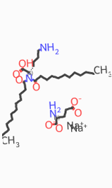 CCCCCCCCCCCC(=O)N(C(=O)CCCCCCCCCCC)[C@@H](CCCCN)C(=O)O.N[C@@H](CCC(=O)[O-])C(=O)[O-].[Na+].[Na+]